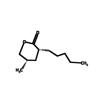 CCCCC[C@@H]1C[C@H](C)COC1=O